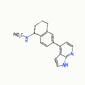 O=C(O)NC1CCCc2cc(-c3ccnc4[nH]ccc34)ccc21